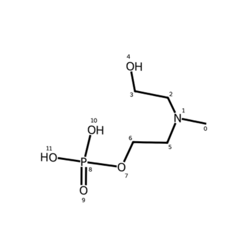 CN(CCO)CCOP(=O)(O)O